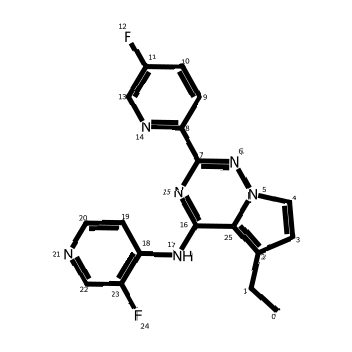 CCc1ccn2nc(-c3ccc(F)cn3)nc(Nc3ccncc3F)c12